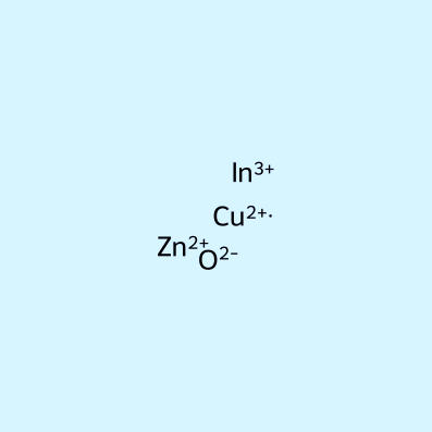 [Cu+2].[In+3].[O-2].[Zn+2]